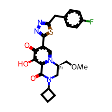 COC[C@H]1CN(C2CCC2)C(=O)c2c(O)c(=O)c(-c3nnc(Cc4ccc(F)cc4)s3)cn21